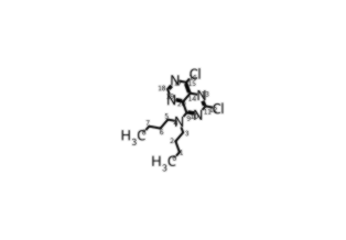 CCCCN(CCCC)c1nc(Cl)nc2c(Cl)ncnc12